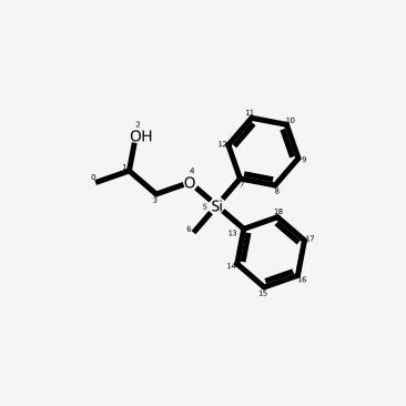 CC(O)CO[Si](C)(c1ccccc1)c1ccccc1